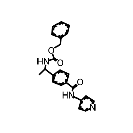 CC(NC(=O)OCc1ccccc1)c1ccc(C(=O)Nc2ccncc2)cc1